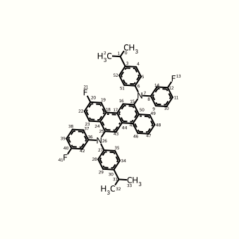 CC(C)c1ccc(N(c2cccc(F)c2)c2cc3c4cc(F)ccc4c(N(c4ccc(C(C)C)cc4)c4cccc(F)c4)cc3c3ccccc23)cc1